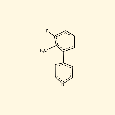 Fc1cccc(-c2ccncc2)c1C(F)(F)F